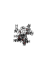 N[C@@H](Cc1cnc[nH]1)C(=O)c1[c]([Hg][O]C(=O)C(C(=O)[C@@H](N)Cc2cnc[nH]2)(C(=O)[C@@H](N)Cc2cnc[nH]2)C(=O)[C@@H](N)Cc2cnc[nH]2)c(C(=O)[C@@H](N)Cc2cnc[nH]2)c(C(=O)[C@@H](N)Cc2cnc[nH]2)c(C(=O)[C@@H](N)Cc2cnc[nH]2)c1C(=O)[C@@H](N)Cc1cnc[nH]1